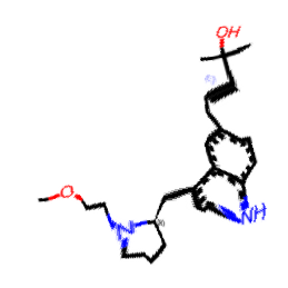 COCCN1CCC[C@@H]1Cc1c[nH]c2ccc(/C=C/C(C)(C)O)cc12